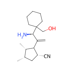 C=C(C1[C@H](C#N)C[C@H](C)[C@@H]1C)[C@@H](N)C1(CO)CCCCC1